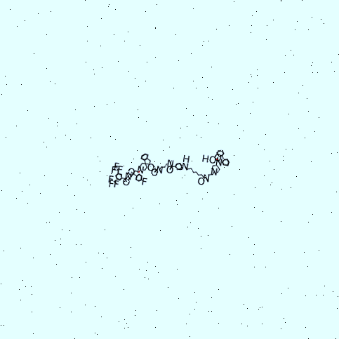 CN(CCN1CCC(N(C(=O)O)c2ccccc2-c2ccccc2)CC1)C(=O)CCCCCCNc1ccc(C(=O)N(C)CCCN(C)C(=O)CO[C@H]2Cc3ccccc3C23CCN(CC[C@@]2(c4ccc(F)cc4)CN(C(=O)c4cc(C(F)(F)F)cc(C(F)(F)F)c4)CO2)CC3)cc1